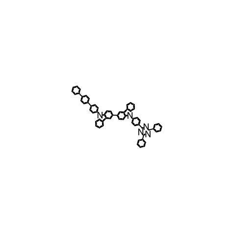 c1ccc(-c2ccc(-c3ccc(-n4c5ccccc5c5cc(-c6ccc7c(c6)c6ccccc6n7-c6ccc(-c7nc(-c8ccccc8)nc(-c8ccccc8)n7)cc6)ccc54)cc3)cc2)cc1